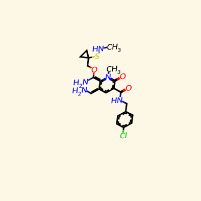 CNSC1(CO/C(N)=c2/c(=C\N)cc(C(=O)NCc3ccc(Cl)cc3)c(=O)n2C)CC1